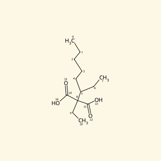 CCCCCC(CC)C(CC)(C(=O)O)C(=O)O